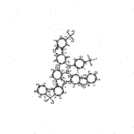 CC(C)(C)c1ccc(N2B3c4cc5c(cc4-n4c6ccc7c(c6c6ccc(c3c64)-c3cc4oc6ccc(C(C)(C)C)cc6c4cc32)-c2ccccc2C7(C)C)oc2ccccc25)cc1